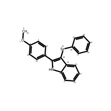 COc1ccc(-c2[nH]c3ccccc3c2[Se]c2ccccc2)cc1